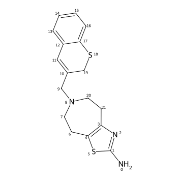 Nc1nc2c(s1)CCN(CC1=Cc3ccccc3SC1)CC2